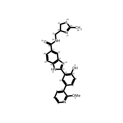 COc1ncccc1-c1ccc(O)c(-c2nc3cc(C(=O)NCC4CSC(C)=N4)ccc3[nH]2)c1